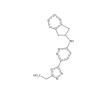 O=C(O)Cc1nnc(-c2ccc(NC3Cc4ccccc4C3)nn2)o1